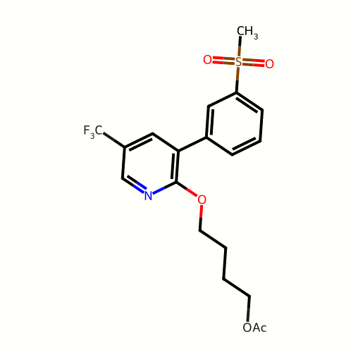 CC(=O)OCCCCOc1ncc(C(F)(F)F)cc1-c1cccc(S(C)(=O)=O)c1